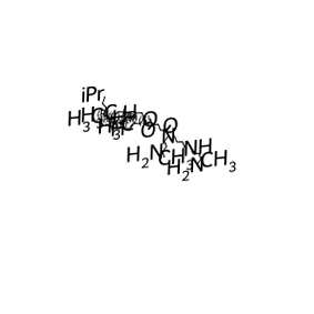 CC(C)CCC[C@@H](C)[C@H]1CC[C@H]2[C@@H]3CC=C4C[C@@H](OC(=O)CCC(=O)N(CCCCNCCC(C)N)CCC(C)N)CC[C@]4(C)[C@H]3CC[C@]12C